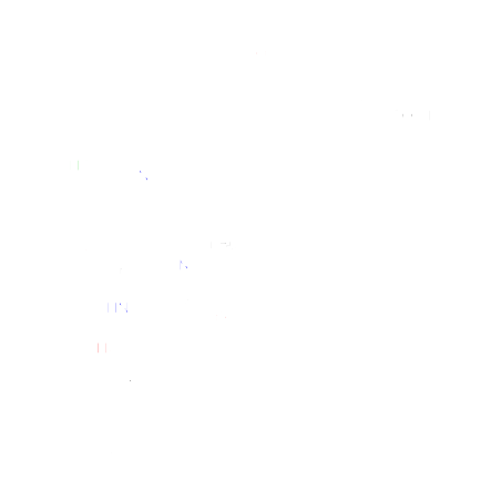 CCCCN1C(=O)[C@H](CC2(O)CCCCC2)NC(=O)C12CCN(Cc1ccc(Oc3ccc(C(=O)O)cc3)cc1)CC2.Cl